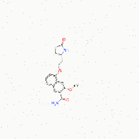 CC(C)Oc1cc2c(OCC[C@@H]3CCC(=O)N3)cccc2cc1C(N)=O